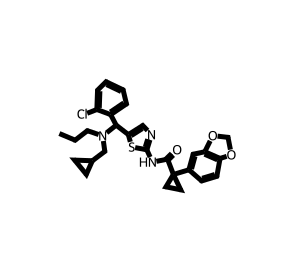 CCCN(CC1CC1)C(c1cnc(NC(=O)C2(c3ccc4c(c3)OCO4)CC2)s1)c1ccccc1Cl